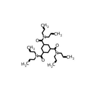 C=CCN(CC=C)C(=O)C1CC(C(=O)N(CC=C)CC=C)CC(C(=O)N(CC=C)CC=C)C1